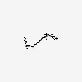 CCCCC[C@H]1O[C@H]1C/C=C\CCCCCCCC(=O)OC(C)(C)CCOC(C)(C)O